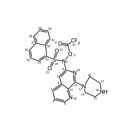 O=C(ON(c1cc2cccnc2c(N2CCNCC2)n1)S(=O)(=O)c1cccc2ccccc12)C(F)(F)F